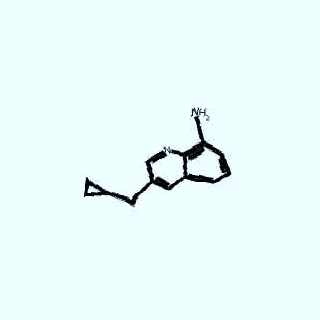 Nc1cccc2cc(CC3CC3)cnc12